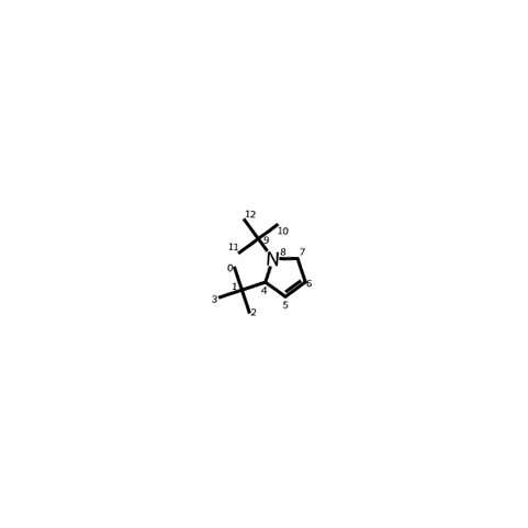 CC(C)(C)C1C=CCN1C(C)(C)C